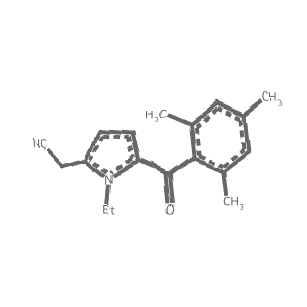 CCn1c(CC#N)ccc1C(=O)c1c(C)cc(C)cc1C